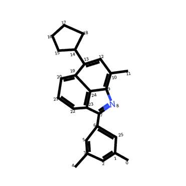 Cc1cc(C)cc(C2=Nc3c(C)cc(C4CCCC4)c4cccc2c34)c1